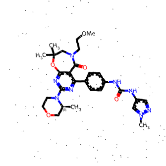 COCCN1CC(C)(C)Oc2nc(N3CCOC[C@@H]3C)nc(-c3ccc(NC(=O)Nc4cnn(C)c4)cc3)c2C1=O